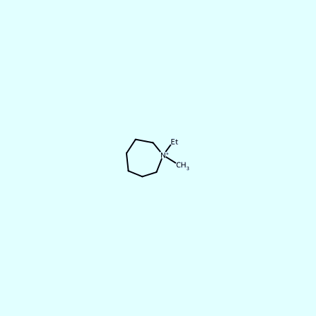 CC[N+]1(C)CCCCCC1